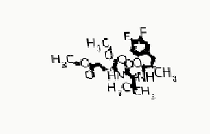 CCOC(=O)CC[C@@H](NC(=O)[C@@H](NC(=O)C(C)Cc1ccc(F)c(F)c1)C(C)C)C(=O)OCC